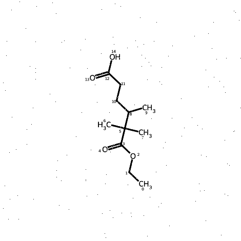 CCOC(=O)C(C)(C)C(C)CCC(=O)O